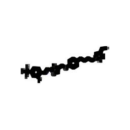 [CH2]Cc1cn(CCCCc2ccc(OCc3coc(/C=C/c4ccc(C(F)(F)F)cc4F)n3)cc2)nn1